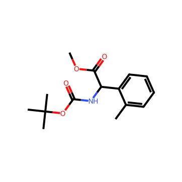 COC(=O)C(NC(=O)OC(C)(C)C)c1ccccc1C